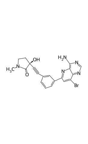 CN1CC[C@](O)(C#Cc2cccc(-c3cc(Br)c4ncnc(N)c4n3)c2)C1=O